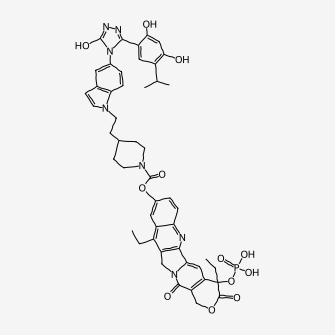 CCc1c2c(nc3ccc(OC(=O)N4CCC(CCn5ccc6cc(-n7c(O)nnc7-c7cc(C(C)C)c(O)cc7O)ccc65)CC4)cc13)-c1cc3c(c(=O)n1C2)COC(=O)C3(CC)OP(=O)(O)O